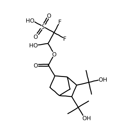 CC(C)(O)C1C2CC(C(=O)OC(O)C(F)(F)S(=O)(=O)O)C(C2)C1C(C)(C)O